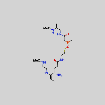 C/C=C(/NCCNOC)[C@@H](N)CCC(=O)NCCSOP(C)CC(=O)NCC(C)NOC